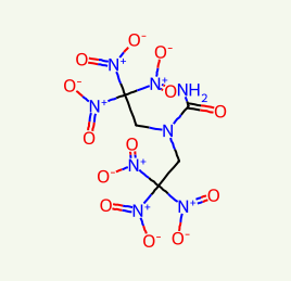 NC(=O)N(CC([N+](=O)[O-])([N+](=O)[O-])[N+](=O)[O-])CC([N+](=O)[O-])([N+](=O)[O-])[N+](=O)[O-]